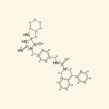 CCCCC1(CC2CCCCC2)NC(=N)N(Cc2ccc(CNC(=O)N(CCc3ccccc3)Cc3ccccc3)cc2)C1=O